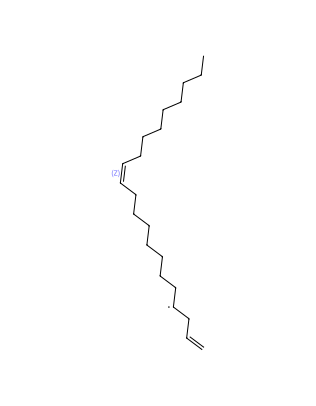 C=CC[CH]CCCCCCC/C=C\CCCCCCCC